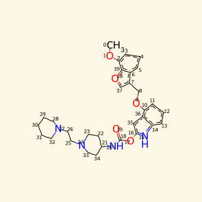 COc1cccc2c(COc3cccc4[nH]c(OC(=O)NC5CCN(CCN6CCCCC6)CC5)cc34)coc12